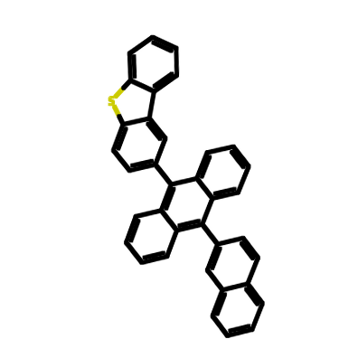 c1ccc2cc(-c3c4ccccc4c(-c4ccc5sc6ccccc6c5c4)c4ccccc34)ccc2c1